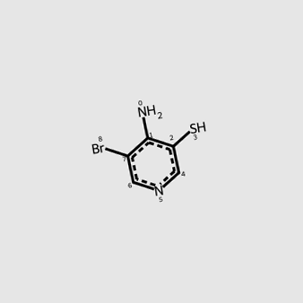 Nc1c(S)cncc1Br